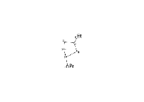 [CH2]CC1C[CH]C(CCC)C1